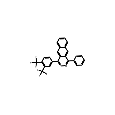 FC(F)(F)c1ccc(-c2nnc(-c3ccccc3)c3cc4ccccc4cc23)cc1C(F)(F)F